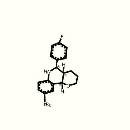 CC(C)(C)c1ccc2c(c1)[C@H]1OCCC[C@H]1[C@H](c1ccc(F)cc1)N2